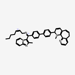 CCCC/C=C\C/N=C(/c1ccc(-c2ccc(C3C=CC4=C(c5ncccc5CC=C4)N3C)cc2)cc1)c1c(C)nc2ccccn12